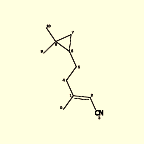 CC(=CC#N)CCC1CC1(C)C